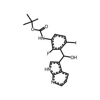 CC(C)(C)OC(=O)Nc1ccc(I)c(C(O)c2c[nH]c3ncccc23)c1F